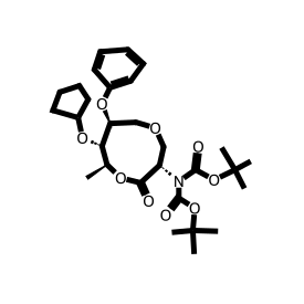 C[C@@H]1OC(=O)[C@@H](N(C(=O)OC(C)(C)C)C(=O)OC(C)(C)C)COC[C@H](Oc2ccccc2)[C@H]1OC1CCCC1